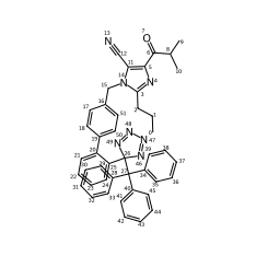 CCCc1nc(C(=O)C(C)C)c(C#N)n1Cc1ccc(-c2ccccc2C2(C(c3ccccc3)(c3ccccc3)c3ccccc3)N=NN=N2)cc1